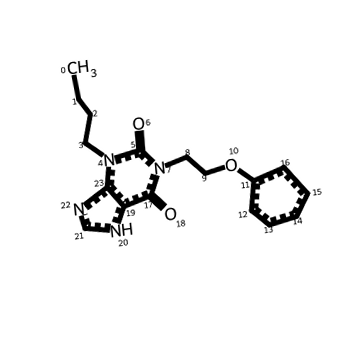 CCCCn1c(=O)n(CCOc2ccccc2)c(=O)c2[nH]cnc21